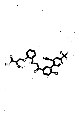 N#Cc1cc(C(F)(F)F)ncc1-c1cc(C(=O)CNc2ccccc2OCC(N)C(=O)O)ccc1Cl